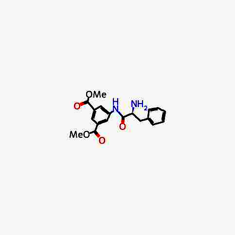 COC(=O)c1cc(NC(=O)[C@@H](N)Cc2ccccc2)cc(C(=O)OC)c1